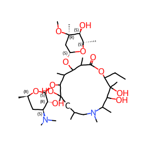 CCC1OC(=O)C(C)C(O[C@@H]2C[C@@](C)(OC)[C@@H](O)[C@H](C)O2)C(C)C(O[C@@H]2O[C@H](C)C[C@H](N(C)C)[C@H]2O)C(C)(O)CC(C)CN(C)C(C)C(O)C1(C)O